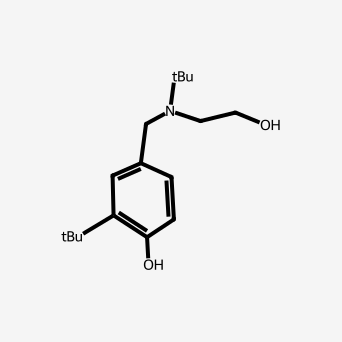 CC(C)(C)c1cc(CN(CCO)C(C)(C)C)ccc1O